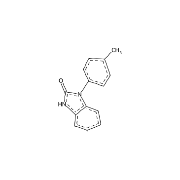 Cc1ccc(-n2c(=O)[nH]c3c[c]ccc32)cc1